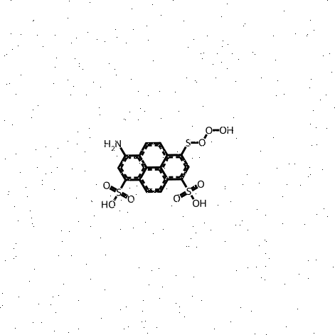 Nc1cc(S(=O)(=O)O)c2ccc3c(S(=O)(=O)O)cc(SOOO)c4ccc1c2c43